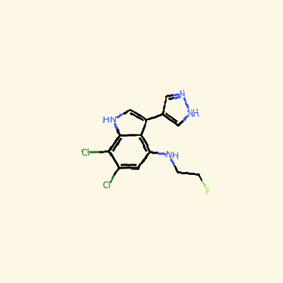 FCCNc1cc(Cl)c(Cl)c2[nH]cc(-c3cn[nH]c3)c12